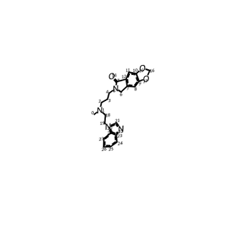 CN(CCCN1Cc2cc3c(cc2C1=O)OCO3)CCn1cnc2ccccc21